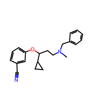 CN(CCC(Oc1cccc(C#N)c1)C1CC1)Cc1ccccc1